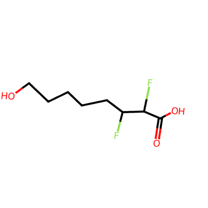 O=C(O)C(F)C(F)CCCCCO